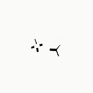 CC(=O)O.[Cu].[KH].[O]=[Mn](=[O])(=[O])[OH]